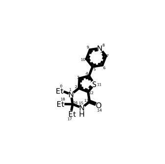 CCN1c2cc(-c3ccncc3)sc2C(=O)NC1(CC)CC